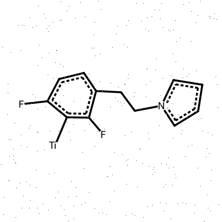 Fc1ccc(CCn2cccc2)c(F)[c]1[Ti]